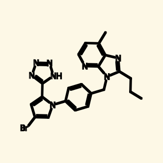 CCCc1nc2c(C)ccnc2n1Cc1ccc(-n2cc(Br)cc2-c2nnn[nH]2)cc1